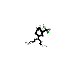 CCCC(CCC)c1cccc(C(F)(F)F)c1